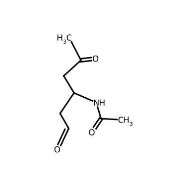 CC(=O)CC(CC=O)NC(C)=O